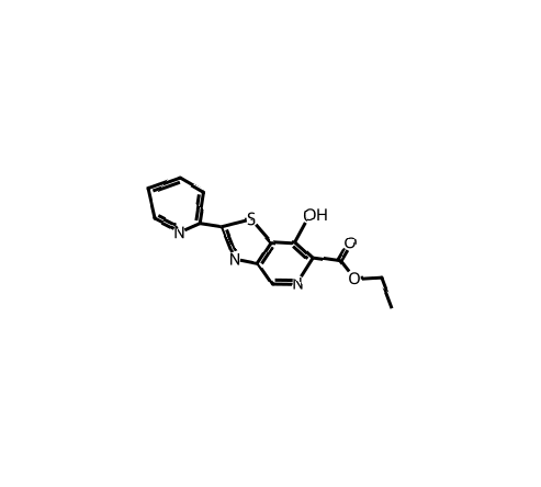 CCOC(=O)c1ncc2nc(-c3ccccn3)sc2c1O